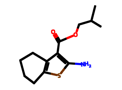 CC(C)COC(=O)c1c(N)sc2c1CCCC2